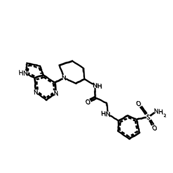 NS(=O)(=O)c1cccc(NCC(=O)NC2CCCN(c3ncnc4[nH]ccc34)C2)c1